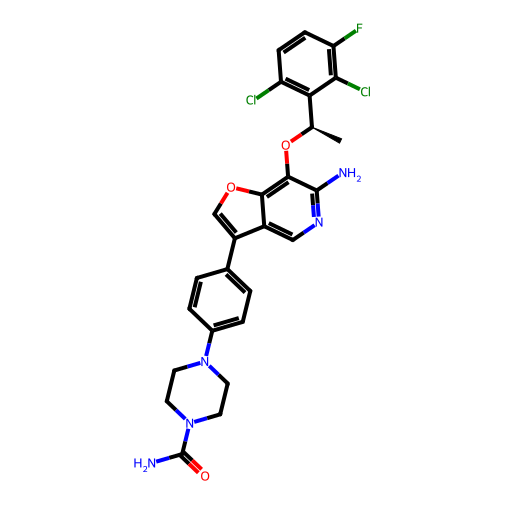 C[C@@H](Oc1c(N)ncc2c(-c3ccc(N4CCN(C(N)=O)CC4)cc3)coc12)c1c(Cl)ccc(F)c1Cl